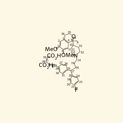 COc1cc2c(cc1OC)C(C)(C1CCN(CCCC(c3ccc(F)cc3)c3ccc(F)cc3)CC1)OCC2.O=C(O)/C=C\C(=O)O